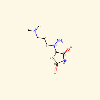 CN(C)CCCN(N)C1SC(=O)NC1=O